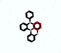 c1ccc(N(c2ccccc2)c2ccccc2N2c3ccccc3Sc3ccccc32)cc1